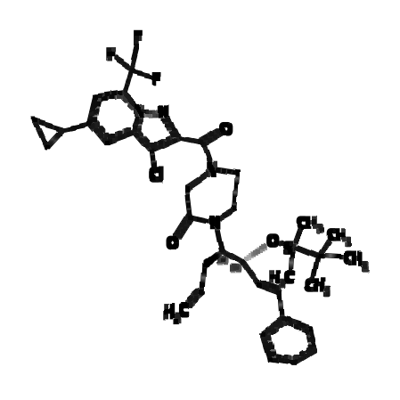 C=CC[C@H]([C@@H](C=Cc1ccccc1)O[Si](C)(C)C(C)(C)C)N1CCN(C(=O)c2nn3c(C(F)(F)F)cc(C4CC4)cc3c2Cl)CC1=O